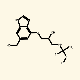 CCSC(C)(CC)NCC(O)COc1cc(CO)cc2[nH]ccc12